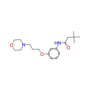 CC(C)(C)CC(=O)Nc1cccc(OCCCN2CCOCC2)c1